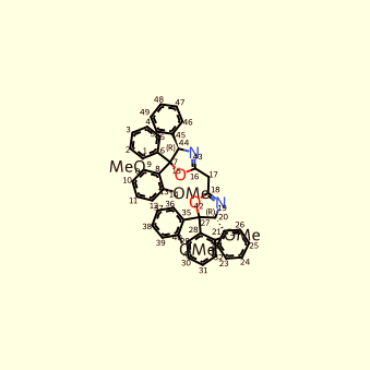 COc1ccccc1C1(c2ccccc2OC)OC(CC2=N[C@H](c3ccccc3)C(c3ccccc3OC)(c3ccccc3OC)O2)=N[C@@H]1c1ccccc1